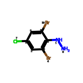 NNc1c(Br)cc(Cl)cc1Br